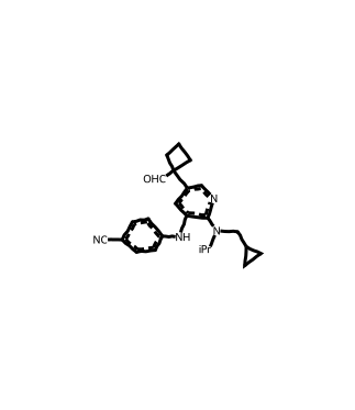 CC(C)N(CC1CC1)c1ncc(C2(C=O)CCC2)cc1Nc1ccc(C#N)cc1